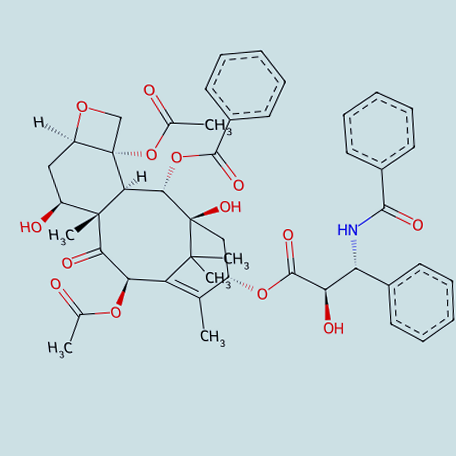 CC(=O)O[C@H]1C(=O)[C@@]2(C)[C@H]([C@H](OC(=O)c3ccccc3)[C@]3(O)C[C@H](OC(=O)[C@H](O)[C@H](NC(=O)c4ccccc4)c4ccccc4)C(C)=C1C3(C)C)[C@]1(OC(C)=O)CO[C@@H]1C[C@@H]2O